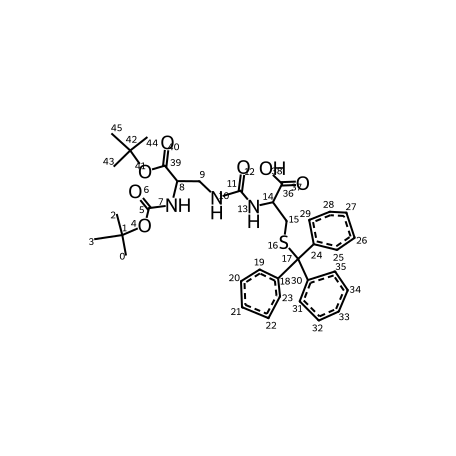 CC(C)(C)OC(=O)NC(CNC(=O)NC(CSC(c1ccccc1)(c1ccccc1)c1ccccc1)C(=O)O)C(=O)OC(C)(C)C